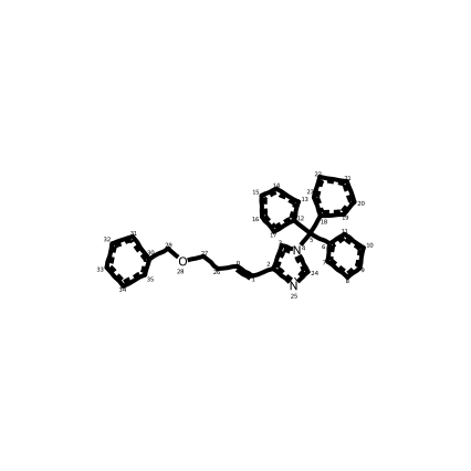 C(=Cc1cn(C(c2ccccc2)(c2ccccc2)c2ccccc2)cn1)CCOCc1ccccc1